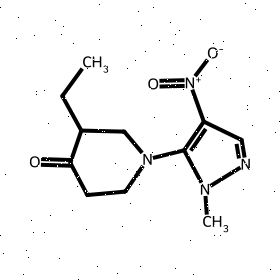 CCC1CN(c2c([N+](=O)[O-])cnn2C)CCC1=O